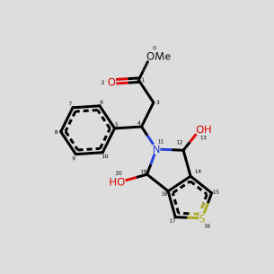 COC(=O)CC(c1ccccc1)N1C(O)c2cscc2C1O